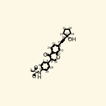 CS(=O)(=O)Nc1ccc(-c2coc3cc(C#CC4(O)CCCC4)ccc3c2=O)cc1